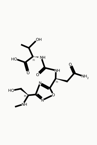 CN[C@@H](CO)c1noc([C@H](CC(N)=O)NC(=O)N[C@H](C(=O)O)C(C)O)n1